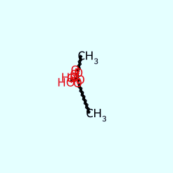 CCCCCCCCCCCCCCCOC(=O)C(O)(CC(=O)O)CC(=O)OC(=O)CCCCCCC